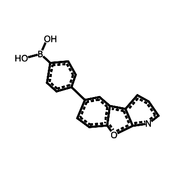 OB(O)c1ccc(-c2ccc3oc4ncccc4c3c2)cc1